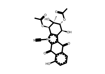 CC(=O)O[C@@H]1c2c(c3c(n2C#N)C(=O)c2c(O)cccc2C3=O)[C@H](O)[C@@H](OC(C)=O)[C@]1(C)O